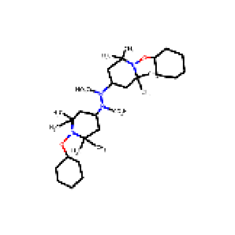 CC1(C)CC(N(C(=O)O)N(C(=O)O)C2CC(C)(C)N(OC3CCCCC3)C(C)(C)C2)CC(C)(C)N1OC1CCCCC1